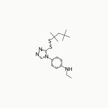 CCNc1ccc(-n2cnnc2SSC(C)(C)CC(C)(C)C)cc1